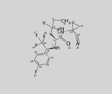 CCC(F)(F)C[C@H](N[C@@H](c1ccc(F)cc1)C(F)(F)F)C(=O)NC1(C#N)CC1